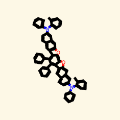 Cc1ccccc1N(c1ccccc1)c1ccc2cc3c(cc2c1)oc1c2oc4cc5cc(N(c6ccccc6)c6ccccc6C)ccc5cc4c2c(-c2ccccc2)c(-c2ccccc2)c31